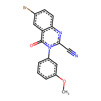 COc1cccc(-n2c(C#N)nc3ccc(Br)cc3c2=O)c1